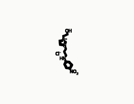 O=[N+]([O-])c1ccc(NCCCn2cc[n+](CCO)c2)cc1.[Cl-]